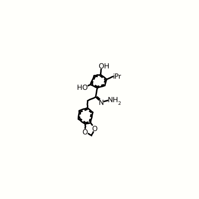 CC(C)c1cc(C(Cc2ccc3c(c2)OCO3)=NN)c(O)cc1O